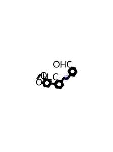 Cc1c(/C=C/c2cccc(C=O)c2)cccc1-c1ccc2c(c1)OCCO2